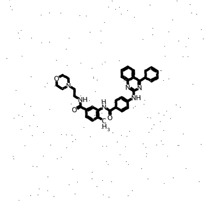 Cc1ccc(C(=O)NCCN2CCOCC2)cc1NC(=O)C1C=CC(Nc2nc(C3C=CC=CC3)c3ccccc3n2)=CC1